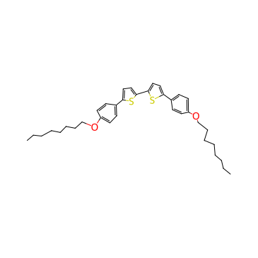 CCCCCCCCOc1ccc(-c2ccc(-c3ccc(-c4ccc(OCCCCCCCC)cc4)s3)s2)cc1